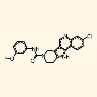 COc1cccc(NC(=O)N2CCc3[nH]c4c(cnc5cc(Cl)ccc54)c3C2)c1